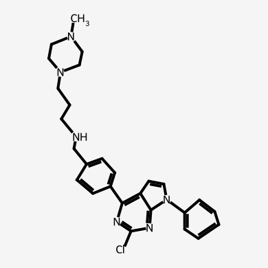 CN1CCN(CCCNCc2ccc(-c3nc(Cl)nc4c3ccn4-c3ccccc3)cc2)CC1